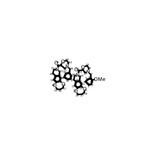 COc1ccccc1CN1CCOC(C(=O)N2CCc3cc4c(cc3C2)OCCCO4)C1.O=C(C1CN(Cc2ccccc2)CCO1)N1CCc2cc3c(cc2C1)OCCCO3